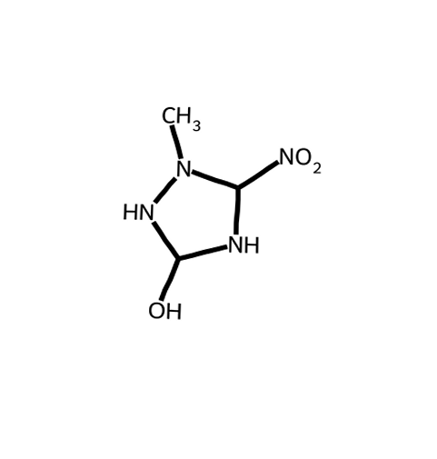 CN1NC(O)NC1[N+](=O)[O-]